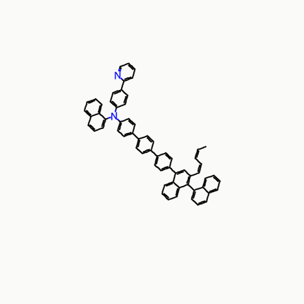 C/C=C\C=C/c1cc(-c2ccc(-c3ccc(-c4ccc(N(c5ccc(-c6ccccn6)cc5)c5cccc6ccccc56)cc4)cc3)cc2)c2ccccc2c1-c1cccc2ccccc12